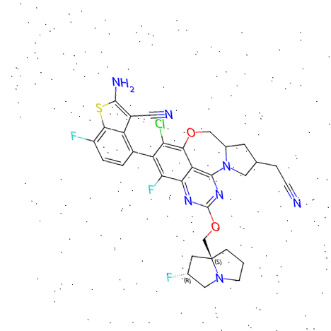 N#CCC1CC2COc3c(Cl)c(-c4ccc(F)c5sc(N)c(C#N)c45)c(F)c4nc(OC[C@@]56CCCN5C[C@H](F)C6)nc(c34)N2C1